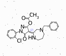 CC(=O)OC1=NN(c2ccccc2Cl)C(=O)/C1=C1/CN(Cc2ccccc2)CCCN1